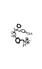 CN(C(=O)CNc1cccc(CNS(C)(=O)=O)c1)[C@H](CN1CC[C@H](O)C1)c1ccccc1